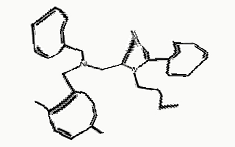 CCCCn1c(CN(Cc2ccccc2)Cc2cc(C)ccc2C)cnc1-c1ccccc1